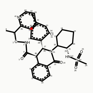 CC(ONC(=O)[C@@H]1c2ccccc2C(=O)N(C2CCCC[C@@H]2NS(C)(=O)=O)[C@H]1c1ccc(Cl)cc1Cl)c1ccccn1